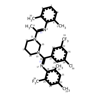 C/C(=N\c1c(C)cccc1C)N1CCCN(/C(=N/c2c(C)cc(C)cc2C(F)(F)F)c2cc(Cl)cc(C(F)(F)F)c2)C1